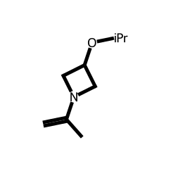 C=C(C)N1CC(OC(C)C)C1